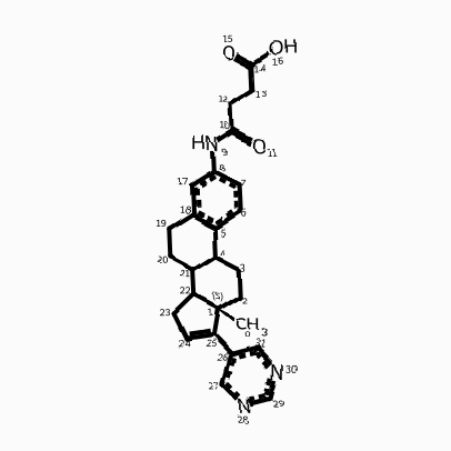 C[C@]12CCC3c4ccc(NC(=O)CCC(=O)O)cc4CCC3C1CC=C2c1cncnc1